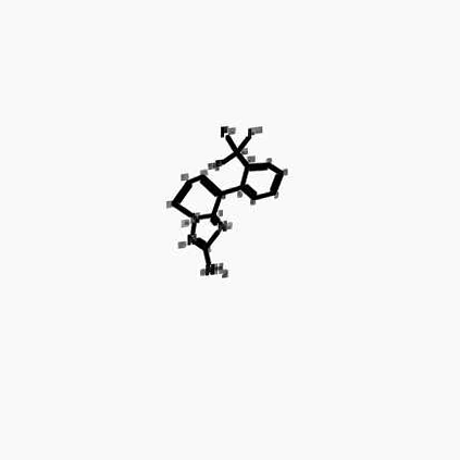 Nc1nc2c(-c3ccccc3C(F)(F)F)cccn2n1